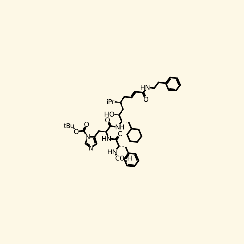 CC(C)[C@@H](C/C=C/C(=O)NCCc1ccccc1)C[C@H](O)[C@H](CC1CCCCC1)NC(=O)[C@H](Cc1cncn1C(=O)OC(C)(C)C)NC(=O)[C@H](Cc1ccccc1)NC(=O)O